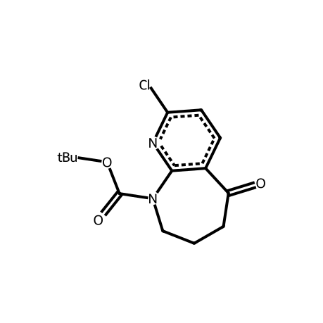 CC(C)(C)OC(=O)N1CCCC(=O)c2ccc(Cl)nc21